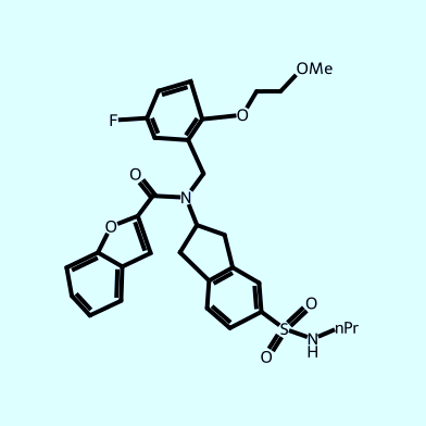 CCCNS(=O)(=O)c1ccc2c(c1)CC(N(Cc1cc(F)ccc1OCCOC)C(=O)c1cc3ccccc3o1)C2